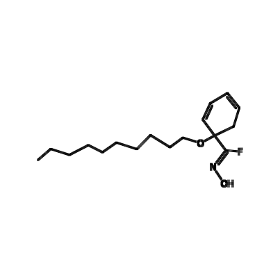 CCCCCCCCCCOC1(C(F)=NO)C=CC=CC1